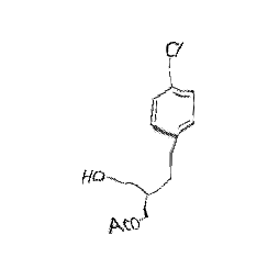 CC(=O)OC[C@@H](CO)Cc1ccc(Cl)cc1